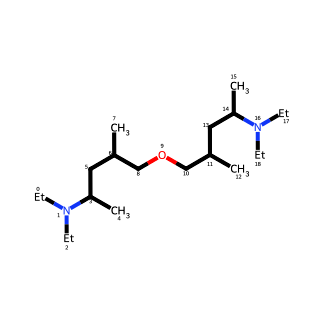 CCN(CC)C(C)CC(C)COCC(C)CC(C)N(CC)CC